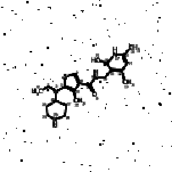 CCN(c1scc(C(=O)NCC2=C(C)C=C(C)NC2O)c1C)C1CCNCC1